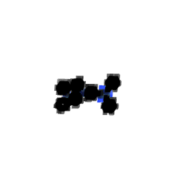 c1ccc(-c2nc(-c3ccccc3)nc(-c3ccc(-n4c5ccccc5c5c6c(ccc54)c4c(n6-c5ccccc5)CCCC4)cc3)n2)cc1